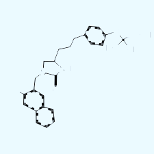 Cc1cc2ccccc2cc1CN1CC(CCCc2ccc(OC(C)(C)C(=O)O)cc2)NC1=O